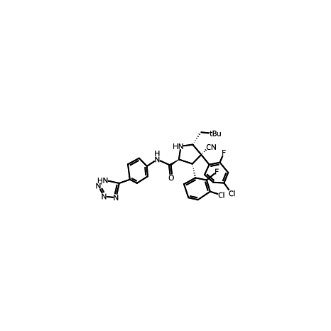 CC(C)(C)C[C@H]1N[C@H](C(=O)Nc2ccc(-c3nnn[nH]3)cc2)[C@@H](c2cccc(Cl)c2F)[C@]1(C#N)c1ccc(Cl)cc1F